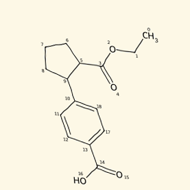 CCOC(=O)C1CCCC1c1ccc(C(=O)O)cc1